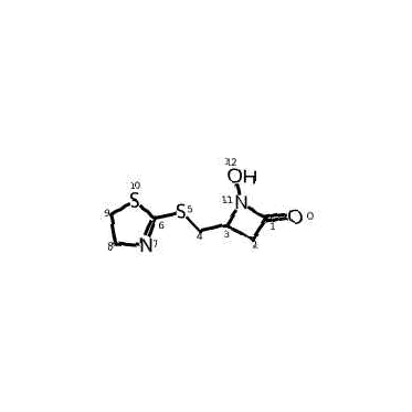 O=C1CC(CSC2=NCCS2)N1O